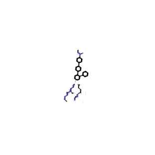 C=C\C=C/C=C/C(C=C)=C/C=C/N(C(=C)CCC(=C)/C(C)=C/C=C\C)c1ccc(-c2ccc(-c3ccc(/C(C=C)=C/C=C)cc3)cc2)c(-c2ccccc2)c1